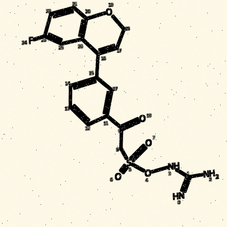 N=C(N)NOS(=O)(=O)CC(=O)c1cccc(C2=CCOc3ccc(F)cc32)c1